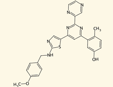 COc1ccc(CNc2ncc(-c3cc(-c4cc(O)ccc4C)nc(-c4cnccn4)n3)s2)cc1